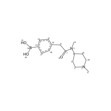 CN1CCC(N(C)C(=O)Cc2ccc(B(O)O)cc2)CC1